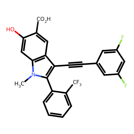 Cn1c(-c2ccccc2C(F)(F)F)c(C#Cc2cc(F)cc(F)c2)c2cc(C(=O)O)c(O)cc21